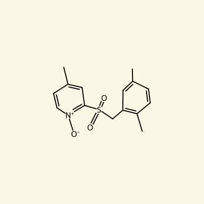 Cc1ccc(C)c(CS(=O)(=O)c2cc(C)cc[n+]2[O-])c1